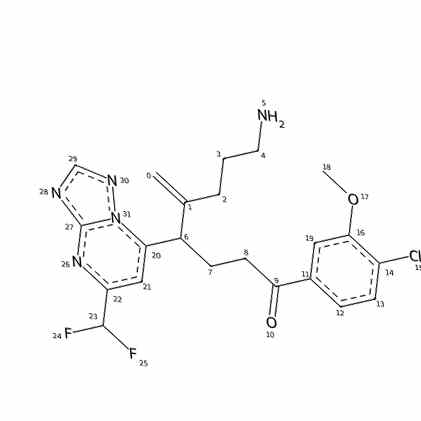 C=C(CCCN)C(CCC(=O)c1ccc(Cl)c(OC)c1)c1cc(C(F)F)nc2ncnn12